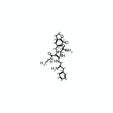 CCNC(=O)C1=C(NC[C@H](N)Cc2ccccc2)NC(C(N)=O)N1Cc1cc(Cl)c2c(c1)CCO2